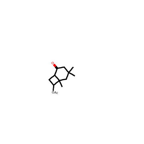 CC(=O)OC1CC2C(=O)CC(C)(C)CC12C